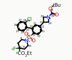 CCOC(=O)C1(F)CCN(S(=O)(=O)c2ccc(C3CN(C(=O)OC(C)(C)C)C3)cc2-c2ccccc2Cl)CC1